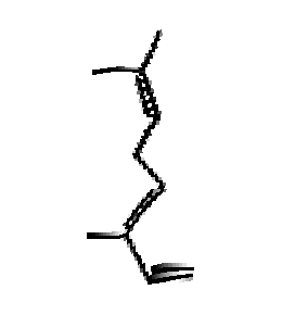 C=CC(C)=CCC=C(C)C